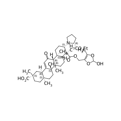 CCOC(=O)[C@H]1CCCN1[C@H]1CC[C@@]2(C)[C@@H](CC[C@]3(C)[C@@H]2C(=O)C=C2[C@@H]4C[C@@](C)(C(=O)O)CC[C@]4(C)CC[C@]23C)[C@]1(C)C(=O)OCC1=C(C)OC(O)O1